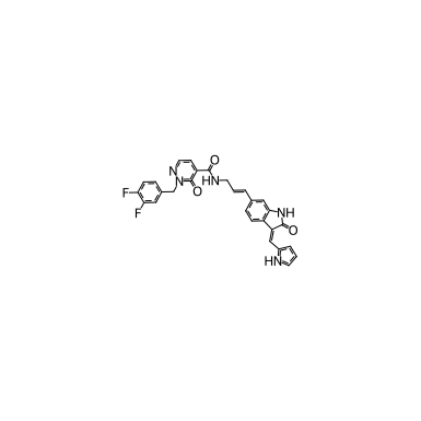 O=C1Nc2cc(/C=C/CNC(=O)c3ccnn(Cc4ccc(F)c(F)c4)c3=O)ccc2/C1=C/c1ccc[nH]1